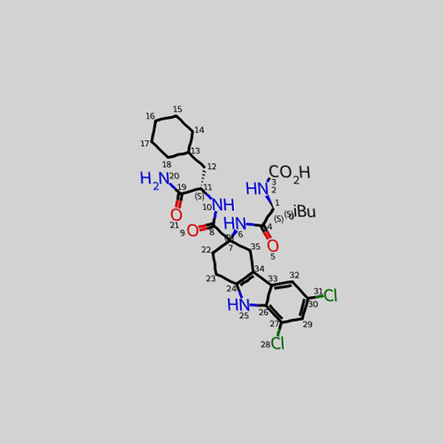 CC[C@H](C)[C@H](NC(=O)O)C(=O)N[C@]1(C(=O)N[C@@H](CC2CCCCC2)C(N)=O)CCc2[nH]c3c(Cl)cc(Cl)cc3c2C1